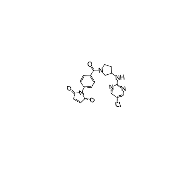 O=C(c1ccc(N2C(=O)C=CC2=O)cc1)N1CCC(Nc2ncc(Cl)cn2)C1